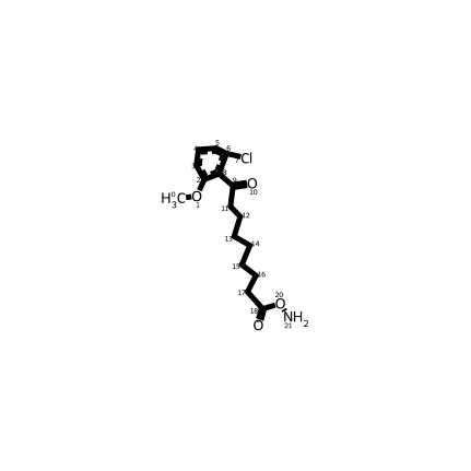 COc1cccc(Cl)c1C(=O)CCCCCCCC(=O)ON